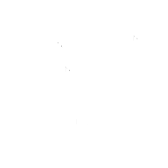 C(=C\c1nc2ccccc2n1-c1ccccc1)/c1cccnc1.Cl.Cl